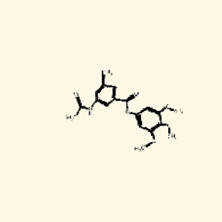 COc1cc(OC(=O)c2cc(C)cc(NC(C)=O)c2)cc(OC)c1OC